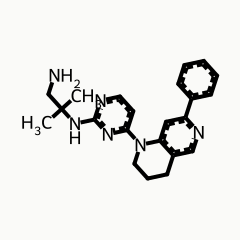 CC(C)(CN)Nc1nccc(N2CCCc3cnc(-c4ccccc4)cc32)n1